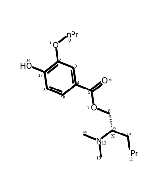 CCCOc1cc(C(=O)OC[C@H](CC(C)C)N(C)C)ccc1O